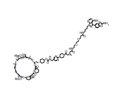 CO[C@H]1CC2CC[C@@H](C)[C@@](O)(O2)C(=O)C(=O)N2CCCC[C@H]2C(=O)O[C@H](CC[C@H]2CC[C@H](OC(=O)NCc3cnc(N4CCN(C(=O)CN(C)CC(=O)NCCOCCOCCC(=O)NCCCCn5nc(-c6ccc7oc(N)nc7c6)c6c(N)ncnc65)CC4)nc3)CC2)CC[C@H](C)/C=C(\C)[C@@H](O)[C@@H](OC)C(=O)[C@H](C)C[C@H](C)/C=C/C=C/C=C/1C